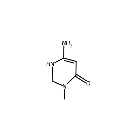 CN1CNC(N)=CC1=O